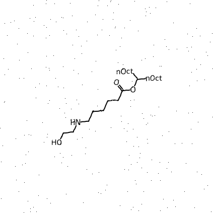 CCCCCCCCC(CCCCCCCC)OC(=O)CCCCCNCCO